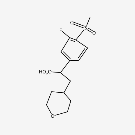 CS(=O)(=O)c1ccc(C(CC2CCOCC2)C(=O)O)cc1F